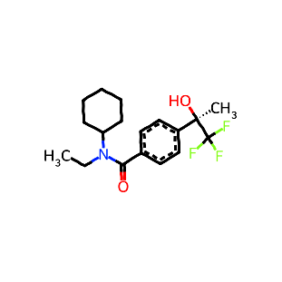 CCN(C(=O)c1ccc([C@@](C)(O)C(F)(F)F)cc1)C1CCCCC1